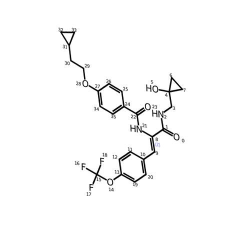 O=C(NCC1(O)CC1)/C(=C/c1ccc(OC(F)(F)F)cc1)NC(=O)c1ccc(OCCC2CC2)cc1